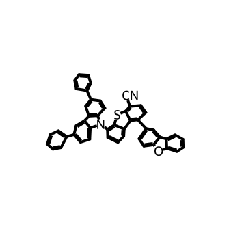 N#Cc1ccc(-c2ccc3oc4ccccc4c3c2)c2c1sc1c(-n3c4ccc(-c5ccccc5)cc4c4cc(-c5ccccc5)ccc43)cccc12